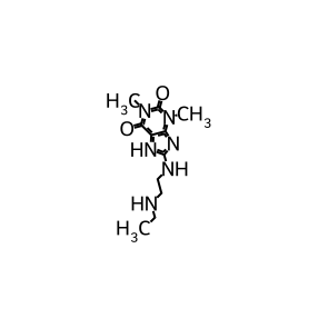 CCNCCNc1nc2c([nH]1)c(=O)n(C)c(=O)n2C